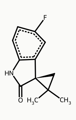 CC1(C)C[C@]12C(=O)Nc1ccc(F)cc12